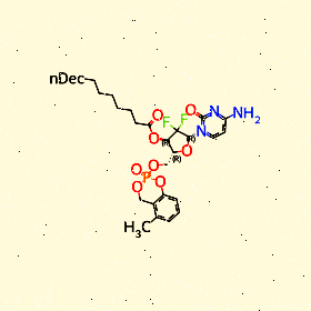 CCCCCCCCCCCCCCCCC(=O)O[C@@H]1[C@@H](COP2(=O)OCc3c(C)cccc3O2)O[C@@H](n2ccc(N)nc2=O)C1(F)F